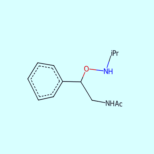 CC(=O)NCC(ONC(C)C)c1ccccc1